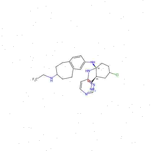 NC(=O)[C@@H]1CC(Cl)CC[C@@]1(Nc1ccc2c(c1)CCC(NCC(F)(F)F)CC2)Nc1ccncn1